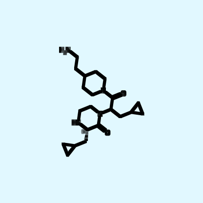 NCCC1CCN(C(=O)C(CC2CC2)N2CCN[C@@H](CC3CC3)C2=O)CC1